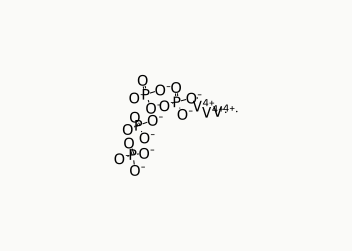 O=P([O-])([O-])[O-].O=P([O-])([O-])[O-].O=P([O-])([O-])[O-].O=P([O-])([O-])[O-].[V+4].[V+4].[V+4]